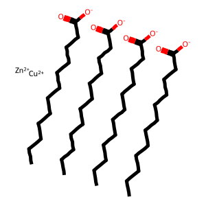 CCCCCCCCCCCC(=O)[O-].CCCCCCCCCCCC(=O)[O-].CCCCCCCCCCCC(=O)[O-].CCCCCCCCCCCC(=O)[O-].[Cu+2].[Zn+2]